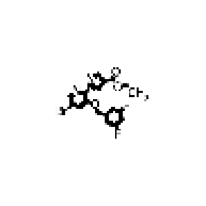 CCOC(=O)c1cnn(-c2ncc(Br)cc2OCc2cc(F)cc(F)c2)c1